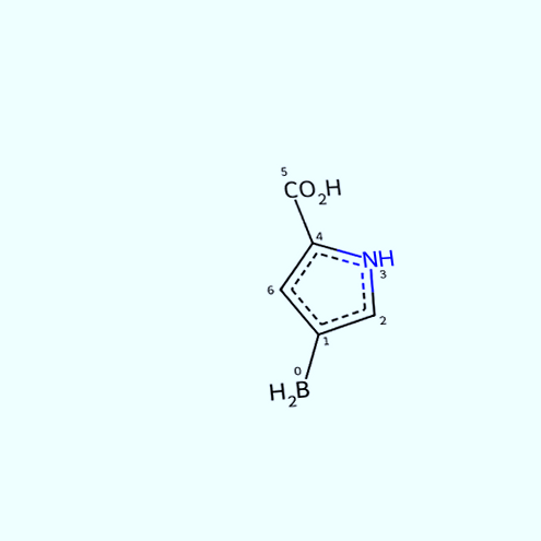 Bc1c[nH]c(C(=O)O)c1